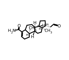 C[C@]12CC[C@H]3[C@@H](CCC4C(C(N)=O)=CCC[C@@]43C)[C@@H]1CC[C@@H]2CC=O